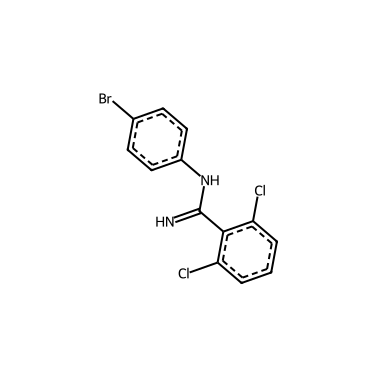 N=C(Nc1ccc(Br)cc1)c1c(Cl)cccc1Cl